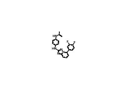 C=C(C)Nc1ccc(Nc2nc3cccc(-c4ccc(F)c(F)c4)n3n2)cc1